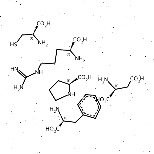 N=C(N)NCCC[C@H](N)C(=O)O.N[C@@H](CC(=O)O)C(=O)O.N[C@@H](CS)C(=O)O.N[C@@H](Cc1ccccc1)C(=O)O.O=C(O)[C@@H]1CCCN1